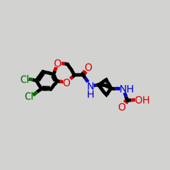 O=C(O)NC12CC(NC(=O)C3COc4cc(Cl)c(Cl)cc4O3)(C1)C2